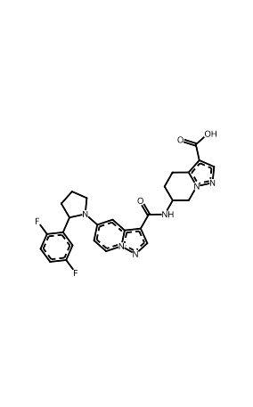 O=C(O)c1cnn2c1CCC(NC(=O)c1cnn3ccc(N4CCCC4c4cc(F)ccc4F)cc13)C2